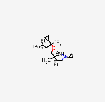 CC[C@@H](CC(OCC(C)(C)[C@@H](CC)CN(C(C)=O)C1CC1)(C1CC1)C(F)(F)F)C(C)(C)C